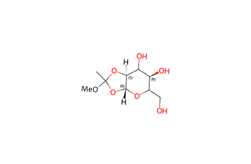 COC1(C)O[C@H]2OC(CO)[C@H](O)C(O)[C@@H]2O1